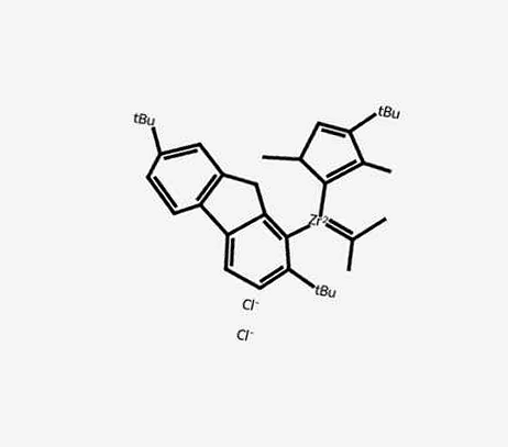 CC1=[C]([Zr+2](=[C](C)C)[c]2c(C(C)(C)C)ccc3c2Cc2cc(C(C)(C)C)ccc2-3)C(C)C=C1C(C)(C)C.[Cl-].[Cl-]